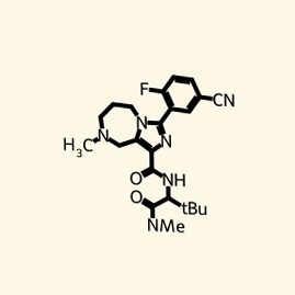 CNC(=O)C(NC(=O)c1nc(-c2cc(C#N)ccc2F)n2c1CN(C)CCC2)C(C)(C)C